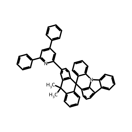 CC1(C)c2ccccc2C2(c3ccccc3-n3c4ccccc4c4cccc2c43)c2ccc(-c3cc(-c4ccccc4)cc(-c4ccccc4)n3)cc21